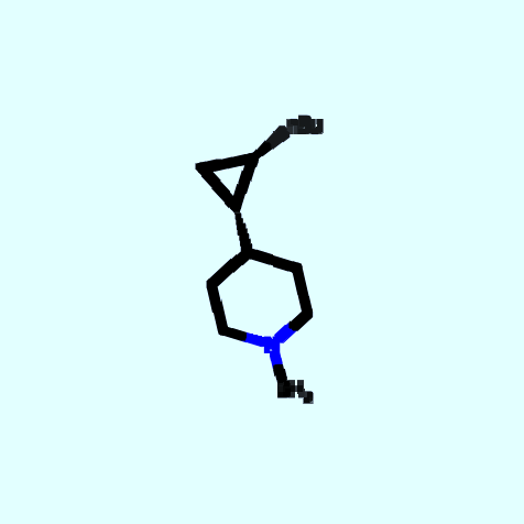 BN1CCC([C@@H]2C[C@H]2CCCC)CC1